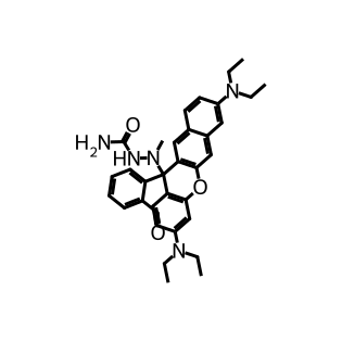 CCN(CC)c1ccc2c(c1)Oc1cc3cc(N(CC)CC)ccc3cc1C2(c1ccccc1C=O)N(C)NC(N)=O